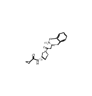 N[C@@H](CC(=O)N1CC[C@H](NC(=O)C2CC2)C1)Cc1ccccc1F